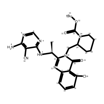 C[C@H](Nc1ncnc(N)c1C#N)c1nc2cccc(Cl)c2c(=O)n1CC1CCCCN1C(=O)OC(C)(C)C